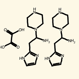 NC(Cc1ncc[nH]1)N1CCNCC1.NC(Cc1ncc[nH]1)N1CCNCC1.O=C(O)C(=O)O